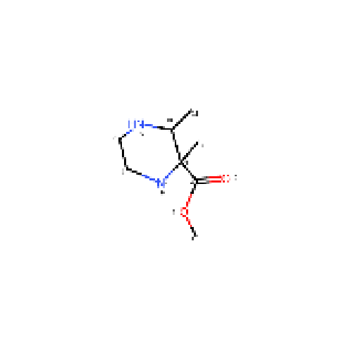 COC(=O)C1(C)[N]CCNC1C